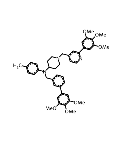 COc1cc(-c2cccc(CN(c3ccc(C)cc3)C3CCN(Cc4ccnc(-c5cc(OC)c(OC)c(OC)c5)c4)CC3)c2)cc(OC)c1OC